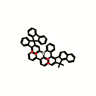 CC1(C)c2cccc(-c3ccccc3N(c3ccc4c(c3)C3(c5ccccc5-c5ccccc53)c3ccccc3-4)c3ccccc3-c3ccccc3)c2-c2ccc3ccccc3c21